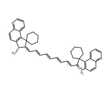 C=C(/C=C/C=C/C=C/C=C/C=C1/N(C)c2ccc3ncccc3c2C12CCCCC2)C1(c2c(C)ccc3ncccc23)CCCCC1